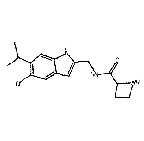 CC(C)c1cc2[nH]c(CNC(=O)C3CCN3)cc2cc1Cl